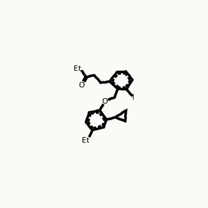 CCC(=O)CCc1cccc(I)c1COc1ccc(CC)cc1C1CC1